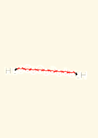 C#CCOCCOCCOCCOCCOCCOCCOCCOCCOCC#C